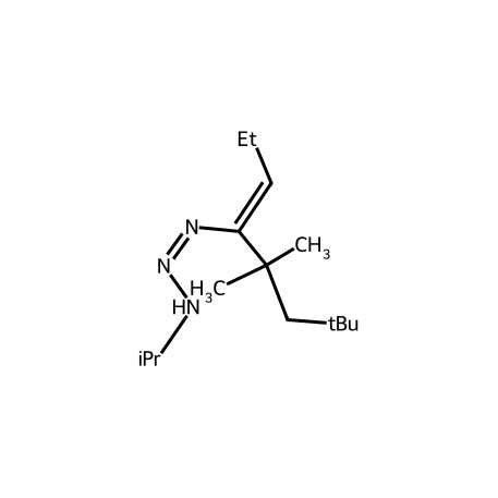 CC/C=C(\N=N/NC(C)C)C(C)(C)CC(C)(C)C